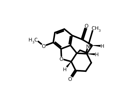 COc1ccc2c3c1O[C@H]1C(=O)CC[C@H]4[C@@H](C2=O)N(C)CC[C@]314